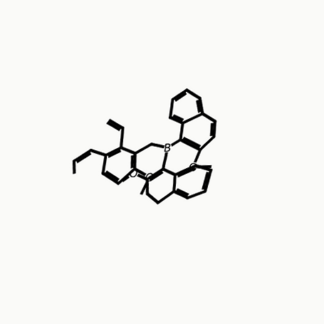 C=Cc1c(/C=C\C)ccc(OC)c1CB(C1=C(OC)CCc2ccccc21)c1c(OC)ccc2ccccc12